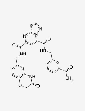 CC(=O)c1cccc(CNC(=O)c2cc(C(=O)NCc3ccc4c(c3)NC(=O)CO4)nc3ccnn23)c1